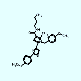 CCCCNC(=O)c1cc(-c2csc(-c3ccc(OC)cc3)n2)n(Cc2ccc(OC)cc2)c1C